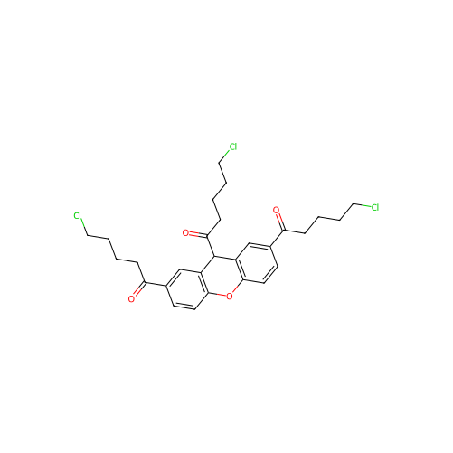 O=C(CCCCCl)c1ccc2c(c1)C(C(=O)CCCCCl)c1cc(C(=O)CCCCCl)ccc1O2